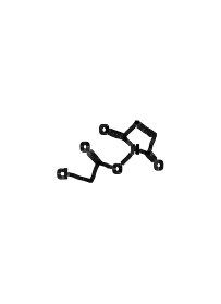 O=C(CCl)ON1C(=O)C=CC1=O